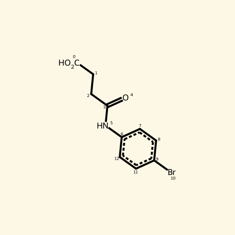 O=C(O)CCC(=O)Nc1ccc(Br)cc1